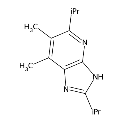 Cc1c(C(C)C)nc2[nH]c(C(C)C)nc2c1C